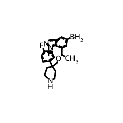 Bc1cc(C(C)OCC2(c3ccc(F)cc3)CCNCC2)c2[nH]ncc2c1